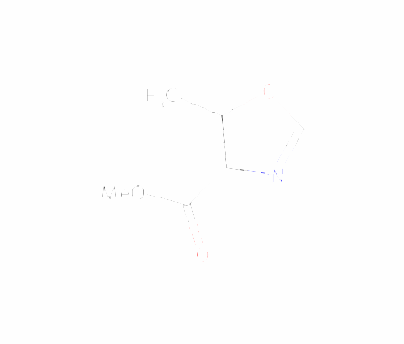 COC(=O)C1N=COC1C(F)(F)F